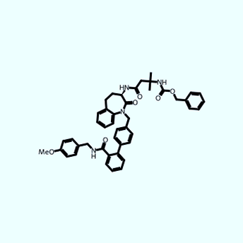 COc1ccc(CNC(=O)c2ccccc2-c2ccc(CN3C(=O)[C@H](NC(=O)CC(C)(C)NC(=O)OCc4ccccc4)CCc4ccccc43)cc2)cc1